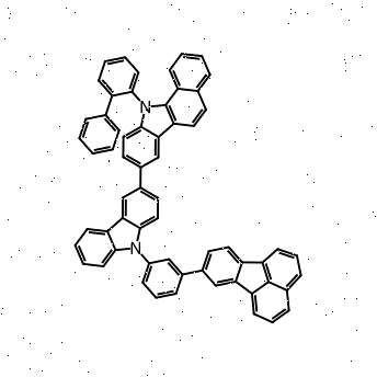 c1ccc(-c2ccccc2-n2c3ccc(-c4ccc5c(c4)c4ccccc4n5-c4cccc(-c5ccc6c(c5)-c5cccc7cccc-6c57)c4)cc3c3ccc4ccccc4c32)cc1